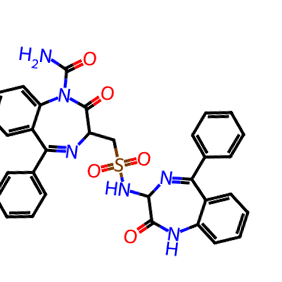 NC(=O)N1C(=O)C(CS(=O)(=O)NC2N=C(c3ccccc3)c3ccccc3NC2=O)N=C(c2ccccc2)c2ccccc21